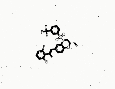 [CH2]C[C@H]1CN(S(=O)(=O)c2cccc(C(F)(F)F)c2)c2cc(/C=C(\C)c3c(F)cccc3Cl)ccc2O1